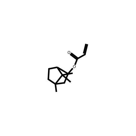 C=CC(=O)OC1CC2(C)CCC1C2(C)C